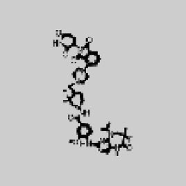 COc1cc(C(=O)NN2CCC(CN3CCN(c4cccc5c4C(=O)N(C4CCC(=O)NC4=O)C5=O)CC3)C(F)(F)C2)ccc1Nc1ncc2c(n1)N(C(C)C)CC(F)(F)C(=O)N2C